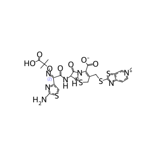 C[n+]1ccc2nc(SCC3=C(C(=O)[O-])N4C(=O)C(NC(=O)/C(=N\OC(C)(C)C(=O)O)c5csc(N)n5)[C@@H]4SC3)sc2c1